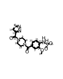 COc1cc(C(=O)N2CCN(C(=O)c3csnn3)CC2)ccc1N[SH](=O)=O